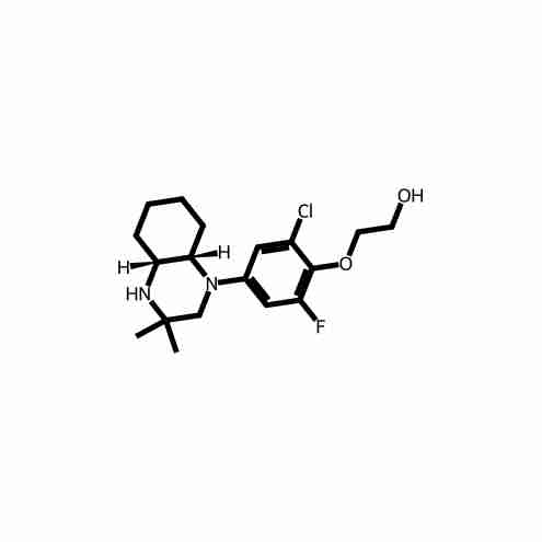 CC1(C)CN(c2cc(F)c(OCCO)c(Cl)c2)[C@H]2CCCC[C@H]2N1